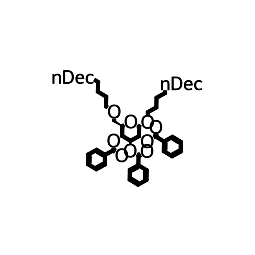 CCCCCCCCCCCCCCOC[C@H]1O[C@H](OCCCCCCCCCCCCCC)[C@H](OC(=O)c2ccccc2)[C@@H](OC(=O)c2ccccc2)[C@@H]1OC(=O)c1ccccc1